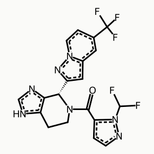 O=C(c1ccnn1C(F)F)N1CCc2[nH]cnc2[C@@H]1c1cc2cc(C(F)(F)F)ccn2n1